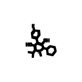 CC(C)C1=C(O)C(c2ccc(F)cc2)=C(O)C(C2CCCCC2)N1C